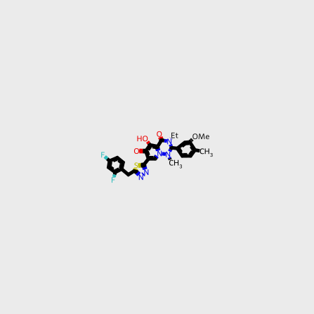 CCN1C(=O)c2c(O)c(=O)c(-c3nnc(Cc4ccc(F)cc4F)s3)cn2N(C)C1c1ccc(C)c(OC)c1